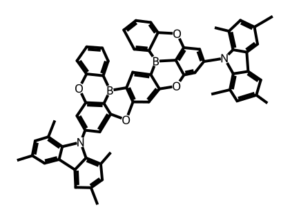 Cc1cc(C)c2c(c1)c1cc(C)cc(C)c1n2-c1cc2c3c(c1)Oc1cc4c(cc1B3c1ccccc1O2)B1c2ccccc2Oc2cc(-n3c5c(C)cc(C)cc5c5cc(C)cc(C)c53)cc(c21)O4